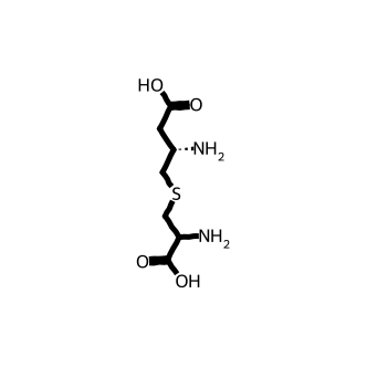 NC(CSC[C@@H](N)CC(=O)O)C(=O)O